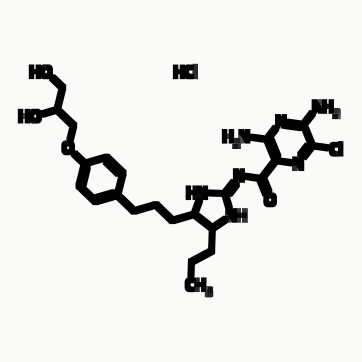 CCCC1NC(=NC(=O)c2nc(Cl)c(N)nc2N)NC1CCCc1ccc(OCC(O)CO)cc1.Cl